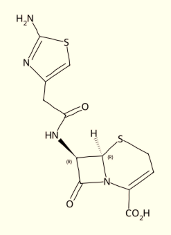 Nc1nc(CC(=O)N[C@@H]2C(=O)N3C(C(=O)O)=CCS[C@H]23)cs1